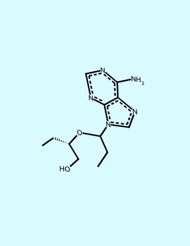 CCC(O[C@@H](CC)CO)n1cnc2c(N)ncnc21